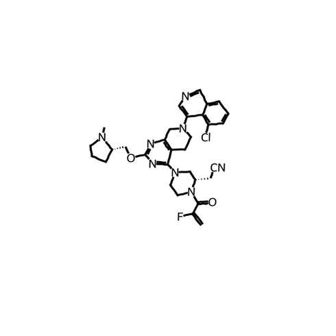 C=C(F)C(=O)N1CCN(c2nc(OC[C@@H]3CCCN3C)nc3c2CCN(c2cncc4cccc(Cl)c24)C3)C[C@@H]1CC#N